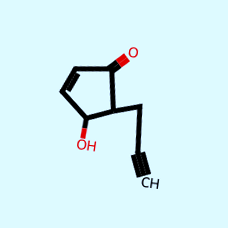 C#CCC1C(=O)C=CC1O